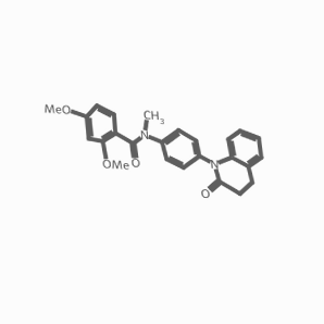 COc1ccc(C(=O)N(C)c2ccc(N3C(=O)CCc4ccccc43)cc2)c(OC)c1